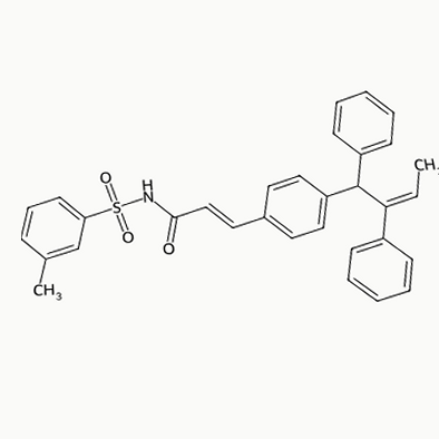 CC=C(c1ccccc1)C(c1ccccc1)c1ccc(C=CC(=O)NS(=O)(=O)c2cccc(C)c2)cc1